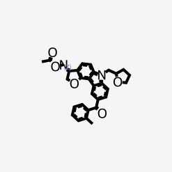 CC(=O)O/N=C1\COc2c1ccc1c2c2cc(C(=O)c3ccccc3C)ccc2n1CC1CCCO1